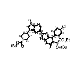 CCOC(=O)[C@@H](OC(C)(C)C)c1c(C)cc2nc(-c3cnc4c(n3)c(C3CCN(C(=O)OC(C)(C)C)CC3)cn4C)sc2c1-c1ccc(Cl)cc1